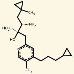 Cc1cnc(C[C@](O)(C(=O)O)[C@@H](N)CC2(C)CC2)cc1CCCC1CC1